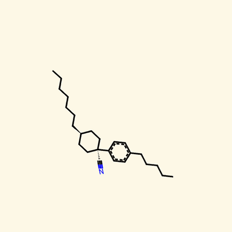 CCCCCCC[C@H]1CC[C@@](C#N)(c2ccc(CCCCC)cc2)CC1